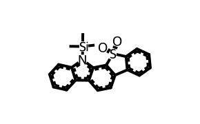 C[Si](C)(C)n1c2ccccc2c2ccc3c(c21)S(=O)(=O)c1ccccc1-3